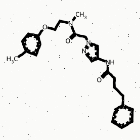 Cc1ccc(OCCN(C)C(=O)Cn2cc(NC(=O)CCCc3ccccc3)cn2)cc1